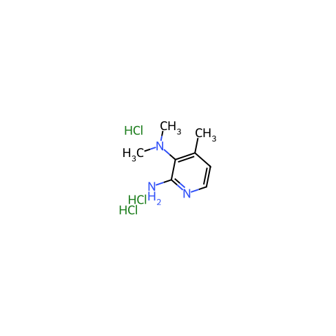 Cc1ccnc(N)c1N(C)C.Cl.Cl.Cl